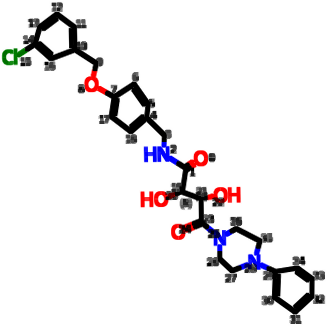 O=C(NCc1ccc(OCc2cccc(Cl)c2)cc1)[C@H](O)[C@@H](O)C(=O)N1CCN(c2ccccc2)CC1